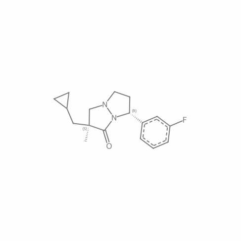 C[C@]1(CC2CC2)CN2CC[C@H](c3cccc(F)c3)N2C1=O